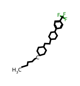 CCCCCCCC1CCC(CCC2CCC(c3ccc(C(F)(F)F)cc3)CC2)CC1